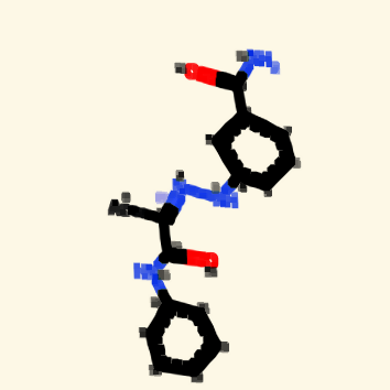 CC(=O)/C(=N/Nc1cccc(C(N)=O)c1)C(=O)Nc1ccccc1